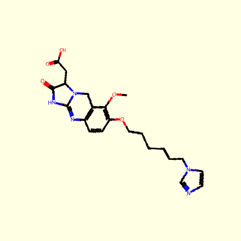 COc1c(OCCCCCCn2ccnc2)ccc2c1CN1C(=N2)NC(=O)C1CC(=O)O